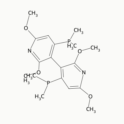 COc1cc(P(C)C)c(-c2c(P(C)C)cc(OC)nc2OC)c(OC)n1